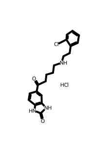 Cl.O=C(CCCCNCCc1ccccc1Cl)c1ccc2[nH]c(=O)[nH]c2c1